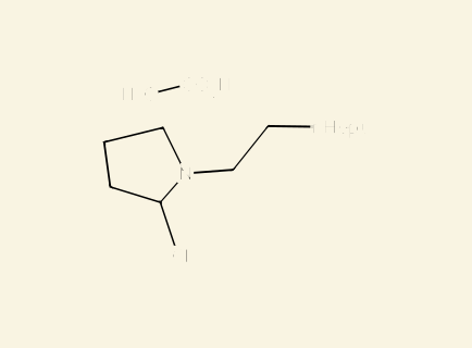 CC(=O)O.CCCCCCCCCN1CCCC1C